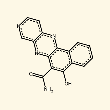 NC(=O)c1c(O)c2ccccc2c2nc3ccncc3nc12